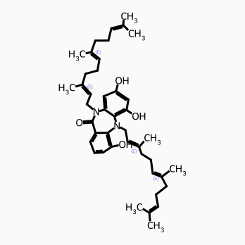 CC(C)=CCC/C(C)=C/CC/C(C)=C/CN1C(=O)c2cccc(O)c2N(C/C=C(\C)CC/C=C(\C)CCC=C(C)C)c2c(O)cc(O)cc21